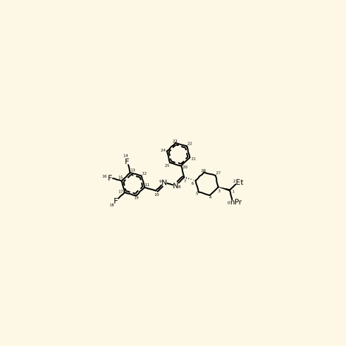 CCCC(CC)[C@H]1CC[C@H](C(=NN=Cc2cc(F)c(F)c(F)c2)c2ccccc2)CC1